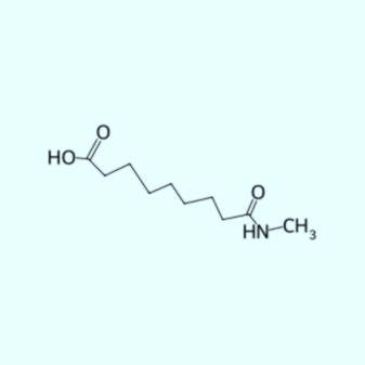 CNC(=O)CCCCCCCC(=O)O